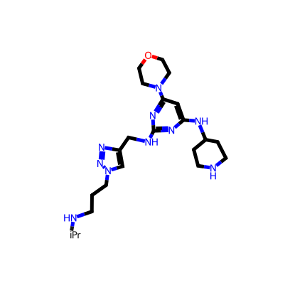 CC(C)NCCCn1cc(CNc2nc(NC3CCNCC3)cc(N3CCOCC3)n2)nn1